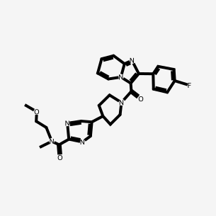 COCCN(C)C(=O)c1ncc(C2CCN(C(=O)c3c(-c4ccc(F)cc4)nc4ccccn34)CC2)cn1